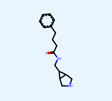 O=C(CCCc1ccccc1)NCC1C2CNCC21